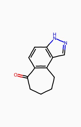 O=C1CCCCc2c1ccc1[nH]ncc21